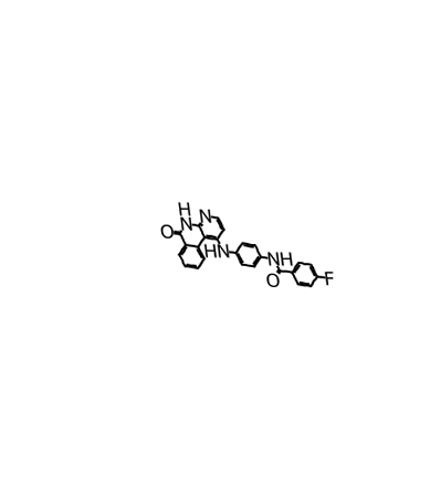 O=C(Nc1ccc(Nc2ccnc3[nH]c(=O)c4ccccc4c23)cc1)c1ccc(F)cc1